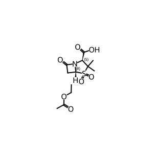 CC1(C)[C@H](C(=O)O)N2C(=O)C[C@H]2S1(=O)=O.CCOC(C)=O